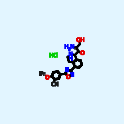 CC(C)Oc1ccc(-c2nc(-c3cccc4c3CCNC4C(=O)[C@H](N)CO)no2)cc1C#N.Cl